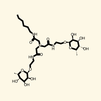 CCCCCCNC(=O)CN(CC(=O)NCCO[C@@H]1O[C@@H](C)[C@@H](O)[C@@H](O)[C@@H]1O)CC(=O)NCCO[C@@H]1O[C@@H](C)[C@@H](O)[C@@H](O)[C@@H]1O